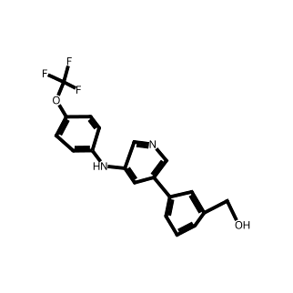 OCc1cccc(-c2cncc(Nc3ccc(OC(F)(F)F)cc3)c2)c1